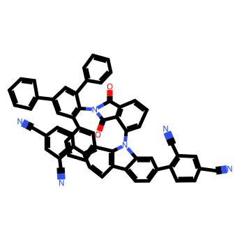 N#Cc1ccc(-c2ccc3c4ccc(-c5ccc(C#N)cc5C#N)cc4n(-c4cccc5c4C(=O)N(c4c(-c6ccccc6)cc(-c6ccccc6)cc4-c4ccccc4)C5=O)c3c2)c(C#N)c1